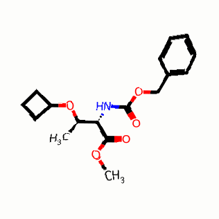 COC(=O)[C@@H](NC(=O)OCc1ccccc1)[C@@H](C)OC1CCC1